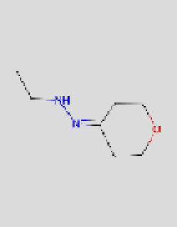 CCNN=C1CCOCC1